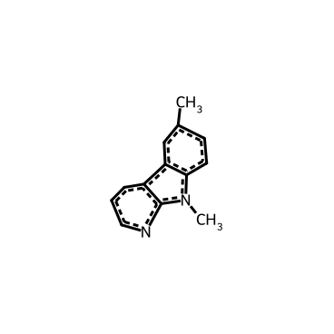 Cc1ccc2c(c1)c1cccnc1n2C